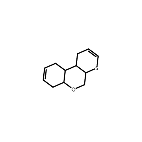 C1=CCC2C(C1)OCC1SC=CCC12